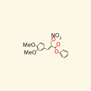 COc1ccc(/C=C(\CO[N+](=O)[O-])C(=O)Oc2ccccc2)cc1OC